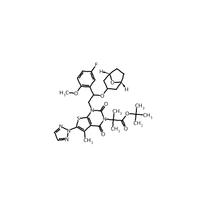 COc1ccc(F)cc1C(Cn1c(=O)n(C(C)(C)C(=O)OC(C)(C)C)c(=O)c2c(C)c(-n3nccn3)sc21)OC1C[C@H]2CC[C@@H](C1)O2